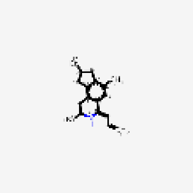 C=C/C=C1\NC(C(C)(C)C)Cc2c1cc(C)c1c2CC(CC)C1